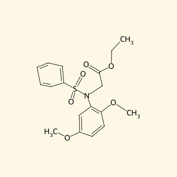 CCOC(=O)CN(c1cc(OC)ccc1OC)S(=O)(=O)c1ccccc1